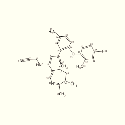 C/N=C(\C=C(\NCC#N)C1=NN=C(C)C(C)CC1)c1cc(N)ccc1Oc1ccc(F)cc1C